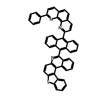 c1ccc(-c2ccc3ccc4ccc(-c5c6ccccc6c(-c6nc7ccc8sc9ccccc9c8c7c7ccccc67)c6ccccc56)nc4c3n2)cc1